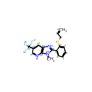 C=CCSc1ccccc1-c1nc2cc(C(F)(F)F)cnc2n1C